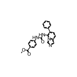 COC(=O)c1ccc(NC(=O)Nc2c(-c3ccccc3)ccc3cncn23)cc1